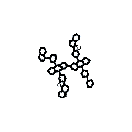 c1ccc(-c2ccc(-c3c4ccccc4c(-c4ccc5c(c4)oc4c6ccccc6ccc54)c4cc(-c5ccc6c(-c7cccc(-c8cccc9ccccc89)c7)c7ccccc7c(-c7ccc8c(c7)oc7c9ccccc9ccc87)c6c5)ccc34)cc2)cc1